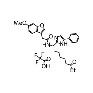 CCC(=O)CCCCC[C@H](NC(=O)Cc1coc2cc(OC)ccc12)c1ncc(-c2ccccc2)[nH]1.O=C(O)C(F)(F)F